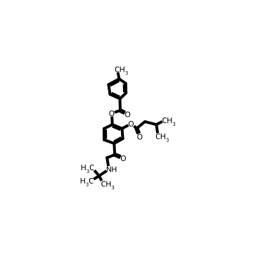 Cc1ccc(C(=O)Oc2ccc(C(=O)CNC(C)(C)C)cc2OC(=O)CC(C)C)cc1